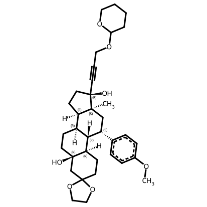 COc1ccc([C@H]2C[C@@]3(C)[C@H](CC[C@]3(O)C#CCOC3CCCCO3)[C@@H]3CC[C@@]4(O)CC5(CC[C@@H]4[C@H]32)OCCO5)cc1